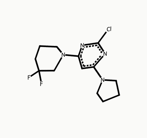 FC1(F)CCCN(c2cc(N3CCCC3)nc(Cl)n2)C1